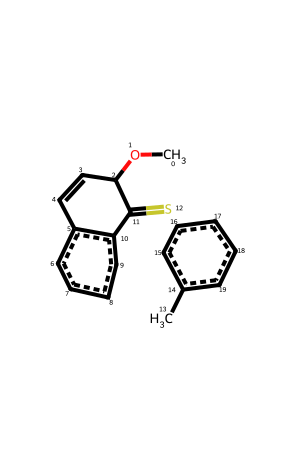 COC1C=Cc2ccccc2C1=S.Cc1ccccc1